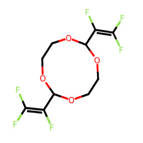 FC(F)=C(F)C1OCCOC(C(F)=C(F)F)OCCO1